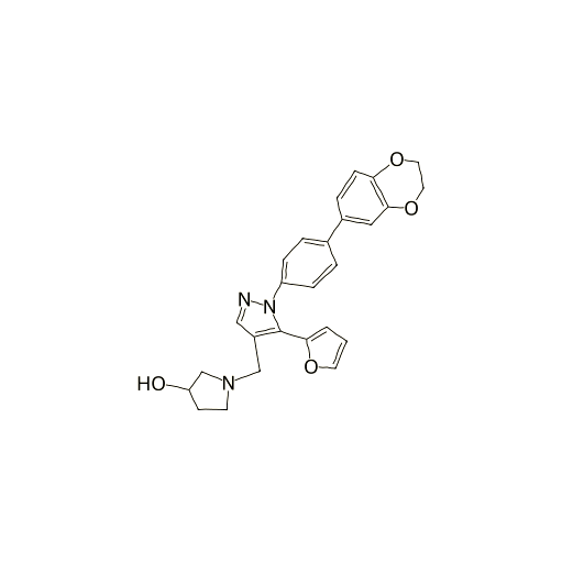 OC1CCN(Cc2cnn(-c3ccc(-c4ccc5c(c4)OCCO5)cc3)c2-c2ccco2)C1